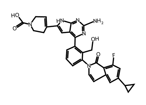 Nc1nc(-c2cccc(-n3ccc4cc(C5CC5)cc(F)c4c3=O)c2CO)c2cc(C3=CCN(C(=O)O)CC3)[nH]c2n1